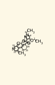 CCOc1cn(CC)nc1S(=O)(=O)C1C=C(c2c(C)cncc2C)CCC1